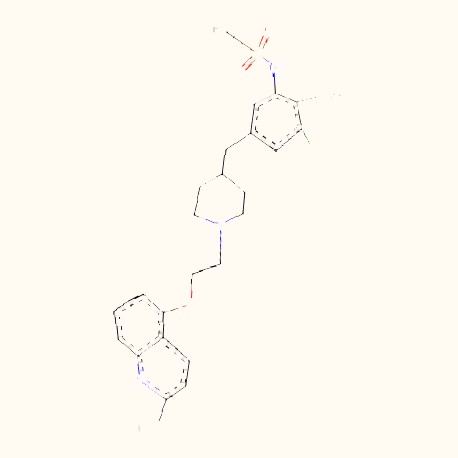 COc1c(F)cc(CC2CCN(CCOc3cccc4nc(C)ccc34)CC2)cc1NS(=O)(=O)C(C)C